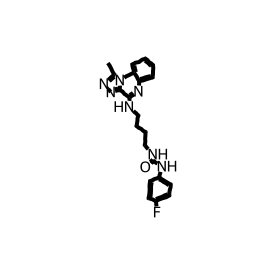 Cc1nnc2c(NCCCCNC(=O)Nc3ccc(F)cc3)nc3ccccc3n12